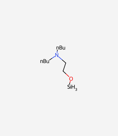 CCCCN(CCCC)CCO[SiH3]